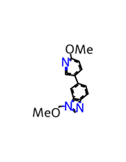 COCn1cnc2ccc(-c3ccc(OC)nc3)cc21